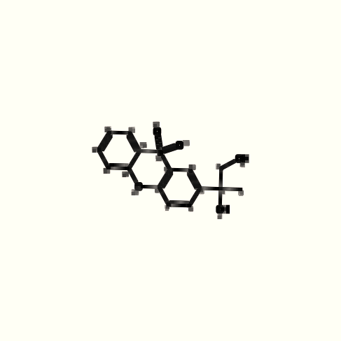 CC(O)(CO)c1ccc2c(c1)S(=O)(=O)c1ccccc1O2